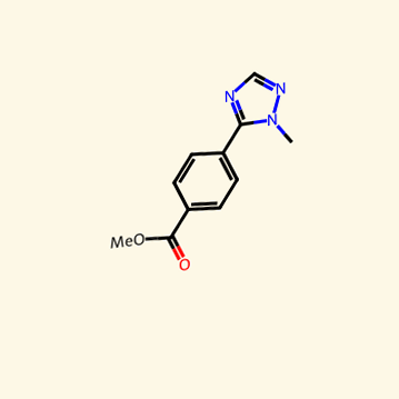 COC(=O)c1ccc(-c2ncnn2C)cc1